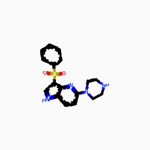 O=S(=O)(c1ccccc1)c1c[nH]c2ccc(N3CCNCC3)nc12